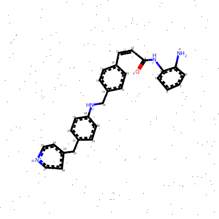 Nc1ccccc1NC(=O)/C=C\c1ccc(CNc2ccc(Cc3ccncc3)cc2)cc1